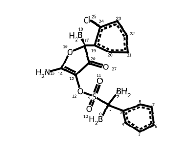 BC(B)(c1ccccc1)S(=O)(=O)OC1=C(N)O[C@](B)(c2ccccc2Cl)C1=O